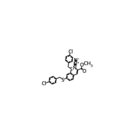 COC(=O)/C(=C/c1ccc(SCc2ccc(Cl)cc2)cc1SCc1ccc(Cl)cc1)N=[N+]=[N-]